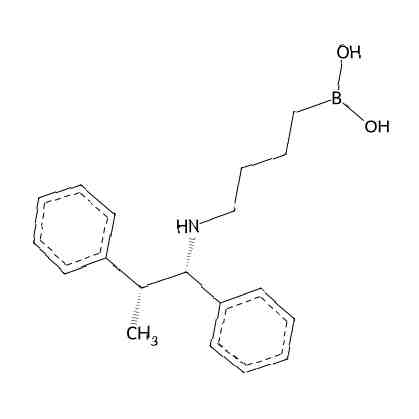 C[C@H](c1ccccc1)[C@H](NCCCCB(O)O)c1ccccc1